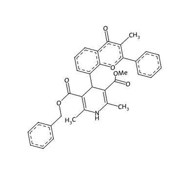 COC(=O)C1=C(C)NC(C)=C(C(=O)OCc2ccccc2)C1c1cccc2c(=O)c(C)c(-c3ccccc3)oc12